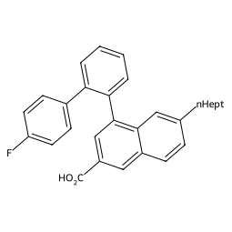 CCCCCCCc1ccc2cc(C(=O)O)cc(-c3ccccc3-c3ccc(F)cc3)c2c1